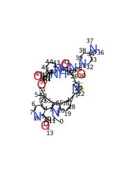 CCn1c(-c2cccnc2[C@H](C)OC)c2c3cc(ccc31)-c1csc(n1)C[C@H](NC(=O)N1CCC(N(C)C)CC1)C(=O)N1CCC[C@H](N1)C(=O)OCC(C)(C)C2